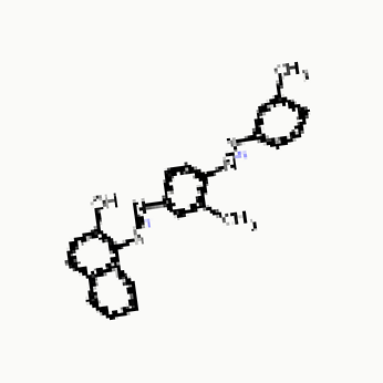 Cc1cccc(/N=N/c2ccc(/N=N/c3c(O)ccc4ccccc34)cc2C)c1